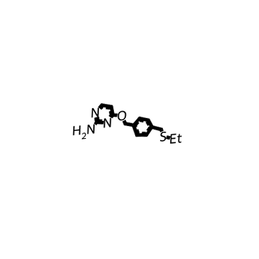 CCSCc1ccc(COc2ccnc(N)n2)cc1